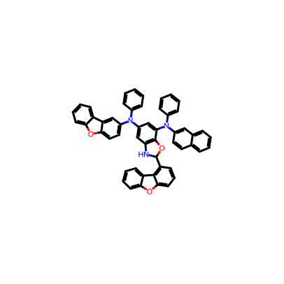 c1ccc(N(c2cc3c(c(N(c4ccccc4)c4ccc5ccccc5c4)c2)OC(c2cccc4oc5ccccc5c24)N3)c2ccc3oc4ccccc4c3c2)cc1